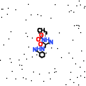 CCOC(=O)NC(=O)C(C#N)=CNc1ccccc1C#N